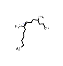 CCCCCC/C(C)=C\CCC(C)CCO